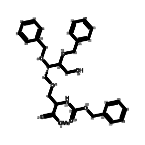 COC(=O)C(COC[C@H](OCc1ccccc1)C(CO)OCc1ccccc1)NC(=O)OCc1ccccc1